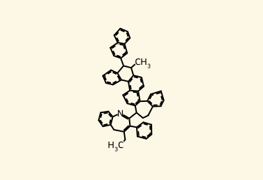 CCC1=C(c2ccccc2)C(C2CCc3ccccc3-c3c2ccc2c4c(ccc32)C(C)C(c2ccc3ccccc3c2)c2ccccc2-4)=Nc2ccccc2C1